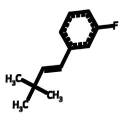 CC(C)(C)/C=C/c1cccc(F)c1